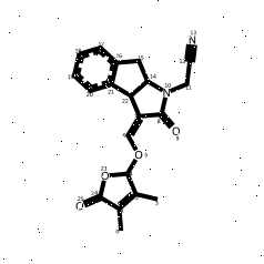 CC1=C(C)C(O/C=C2\C(=O)N(CC#N)C3Cc4ccccc4C23)OC1=O